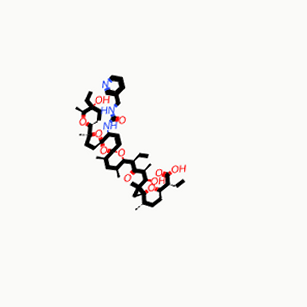 CC[C@@H](C(=O)[C@@H](C)[C@@H](O)C1(C)C[C@]12O[C@@H]([C@@H](CC)C(=O)O)CC[C@@H]2C)[C@H]1O[C@]2(C=C[C@@H](NC(=O)NCc3cccnc3)[C@]3(CC[C@@](C)([C@H]4CC[C@](O)(CC)[C@H](C)O4)O3)O2)[C@H](C)C[C@@H]1C